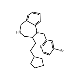 Brc1ccnc(CN2c3ccccc3CNCC2CCC2CCCC2)c1